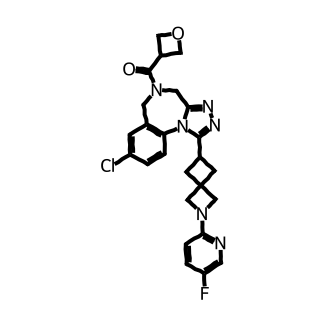 O=C(C1COC1)N1Cc2cc(Cl)ccc2-n2c(nnc2C2CC3(C2)CN(c2ccc(F)cn2)C3)C1